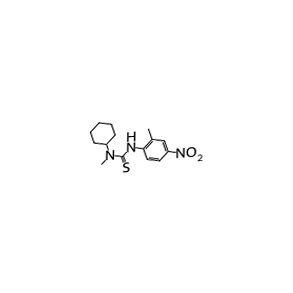 Cc1cc([N+](=O)[O-])ccc1NC(=S)N(C)C1CCCCC1